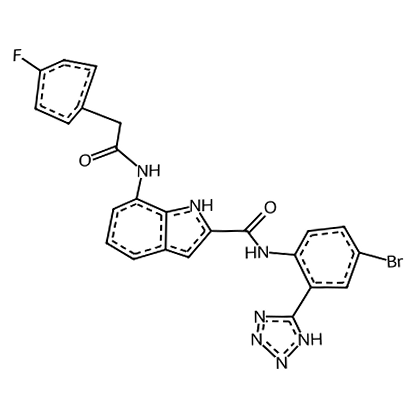 O=C(Cc1ccc(F)cc1)Nc1cccc2cc(C(=O)Nc3ccc(Br)cc3-c3nnn[nH]3)[nH]c12